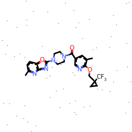 Cc1ccc2oc(N3CCN(C(=O)c4cnc(OCC5(C(F)(F)F)CC5)c(C)c4)CC3)nc2n1